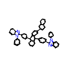 C1=CC2N=C(c3ccc(-c4c5ccccc5c(-c5ccc(-c6nc7ccccc7n6-c6ccccc6)cc5)c5cc(-c6ccc7ccccc7c6)ccc45)cc3)N(c3ccccc3)C2C=C1